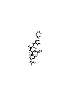 CC1(C)C(=O)C(=Cc2cccc(N3CCOCC3)n2)CN(C(O)=S)C1c1ccc(S(C)(=O)=O)cc1